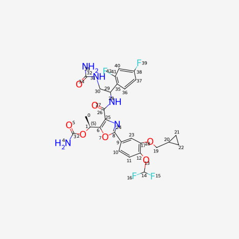 C[C@H](OC(N)=O)c1oc(-c2ccc(OC(F)F)c(OCC3CC3)c2)nc1C(=O)NC(CNC(N)=O)c1ccc(F)cc1F